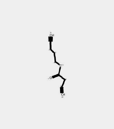 C#CCCCOC(=O)CC#C